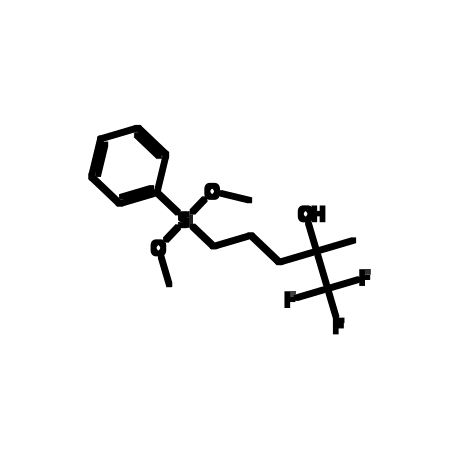 CO[Si](CCCC(C)(O)C(F)(F)F)(OC)c1ccccc1